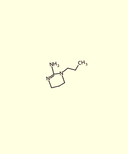 CCCN1CCCN=C1N